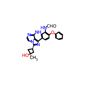 C[C@]1(O)C[C@@H](c2nc(-c3ccc(Oc4ccccc4)c(NC=O)c3)c3c(N)nccn32)C1